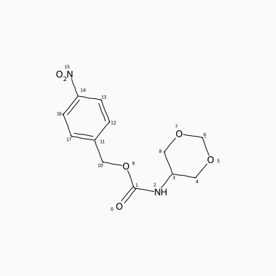 O=C(NC1CO[CH]OC1)OCc1ccc([N+](=O)[O-])cc1